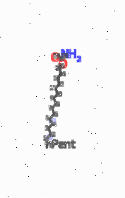 CCCCC/C=C/C/C=C/CCCCCCCCCCOC(N)=O